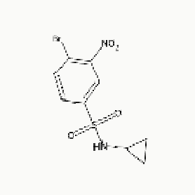 O=[N+]([O-])c1cc(S(=O)(=O)NC2CC2)ccc1Br